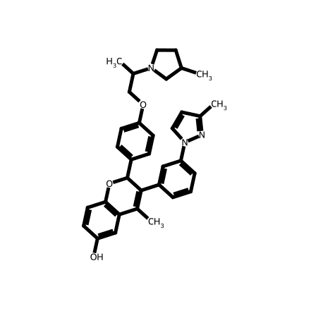 CC1=C(c2cccc(-n3ccc(C)n3)c2)C(c2ccc(OCC(C)N3CCC(C)C3)cc2)Oc2ccc(O)cc21